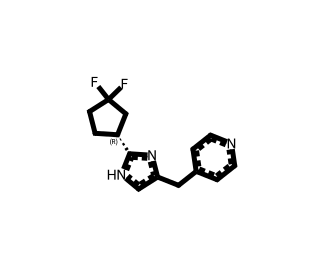 FC1(F)CC[C@@H](c2nc(Cc3ccncc3)c[nH]2)C1